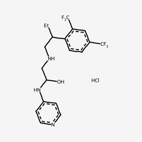 CCC(CNCC(O)Nc1ccncc1)c1ccc(C(F)(F)F)cc1C(F)(F)F.Cl